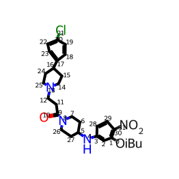 CC(C)COc1cc(NC2CCN(C(=O)CCN3CCC(c4ccc(Cl)cc4)CC3)CC2)ccc1[N+](=O)[O-]